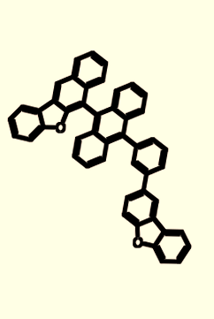 c1cc(-c2ccc3oc4ccccc4c3c2)cc(-c2c3ccccc3c(-c3c4ccccc4cc4c3oc3ccccc34)c3ccccc23)c1